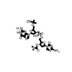 CN(C)C(=O)O[C@H]1C[C@H](n2cnc(N)nc2=O)OC1COP(=O)(O)O[C@@H]1C[C@H](n2cnc3c(=O)[nH]c(N)nc32)OC1COC(C)(C)N=O